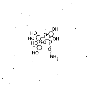 NCCOCCOC1c2c(O)cc(O)cc2OC(c2cc(O)c(O)c(O)c2)C1OC(=O)c1ccc(O)c(F)c1